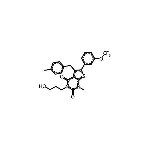 Cc1ccc(Cc2c(-c3cccc(OC(F)(F)F)c3)sc3c2c(=O)n(CCCO)c(=O)n3C)cc1